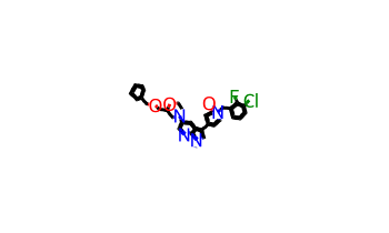 Cn1cc(-c2ccn(Cc3cccc(Cl)c3F)c(=O)c2)c2cc(N3CCOC(COCc4ccccc4)C3)cnc21